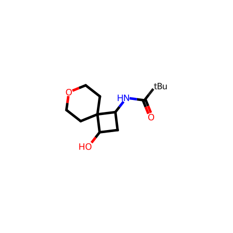 CC(C)(C)C(=O)NC1CC(O)C12CCOCC2